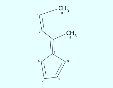 C/C=C\C(C)=C1C=CC=C1